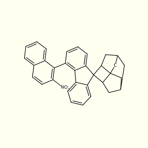 O=[N+]([O-])c1ccc2ccccc2c1-c1cccc2c1-c1ccccc1C21C2CC3CC4CC1C2(C3)C4